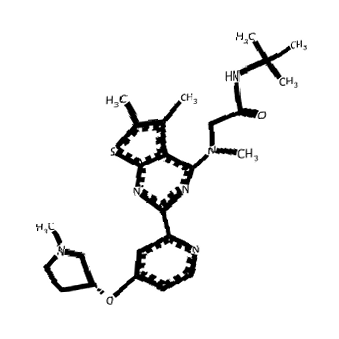 Cc1sc2nc(-c3cc(O[C@@H]4CCN(C)C4)ccn3)nc(N(C)CC(=O)NC(C)(C)C)c2c1C